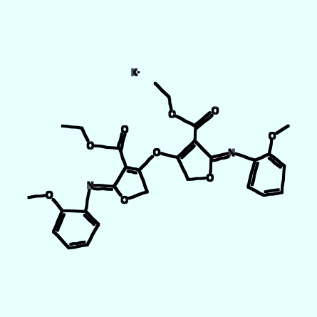 CCOC(=O)C1=C(OC2=C(C(=O)OCC)C(=Nc3ccccc3OC)OC2)COC1=Nc1ccccc1OC.[K]